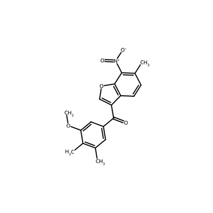 COc1cc(C(=O)c2coc3c([N+](=O)[O-])c(C)ccc23)cc(C)c1C